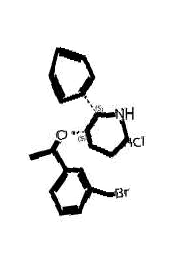 CC(O[C@H]1CCCN[C@H]1c1ccccc1)c1cccc(Br)c1.Cl